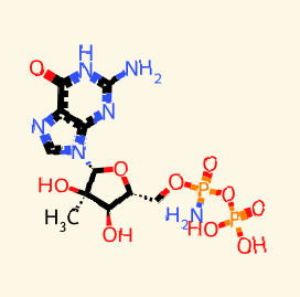 C[C@@]1(O)[C@H](O)[C@@H](COP(N)(=O)OP(=O)(O)O)O[C@H]1n1cnc2c(=O)[nH]c(N)nc21